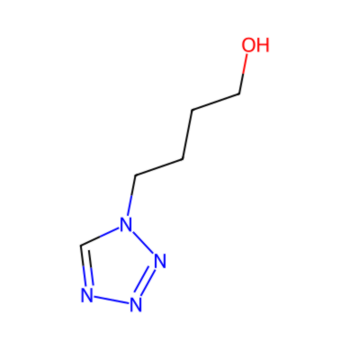 OCCCCn1cnnn1